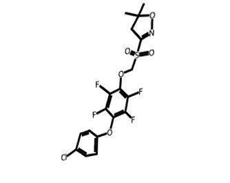 CC1(C)CC(S(=O)(=O)COc2c(F)c(F)c(Oc3ccc(Cl)cc3)c(F)c2F)=NO1